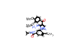 COc1ccc(C(=O)c2cnn(C3=CC(C(=O)NC4CC4)CC=C3C)c2N)cc1OC